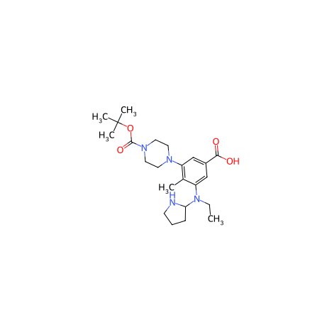 CCN(c1cc(C(=O)O)cc(N2CCN(C(=O)OC(C)(C)C)CC2)c1C)C1CCCN1